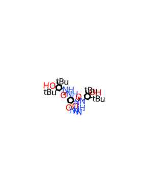 CC(C)(C)c1cc(NC(=O)Nc2ccc(S(=O)(=O)N=[N+]=[N-])c(NC(=O)Nc3cc(C(C)(C)C)c(O)c(C(C)(C)C)c3)c2)cc(C(C)(C)C)c1O